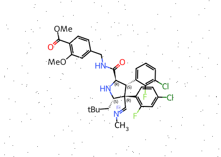 C/N=C/[C@]1(c2ccc(Cl)cc2F)[C@H](CC(C)(C)C)N[C@@H](C(=O)NCc2ccc(C(=O)OC)c(OC)c2)[C@@H]1c1cccc(Cl)c1F